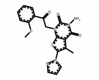 COc1ccccc1C(=O)Cn1c(=O)n(N)c(=O)c2c(C)c(-n3cccn3)sc21